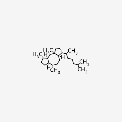 CC(C)CCC[C@H](C)[C@H]1CC[C@]2(C)C[C@H]3[C@H](CC[C@@H]3C)[C@@H](C)CC[C@@H]12